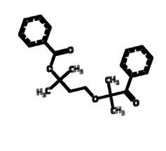 CC(C)(CCOC(C)(C)C(=O)c1ccccc1)OC(=O)c1ccccc1